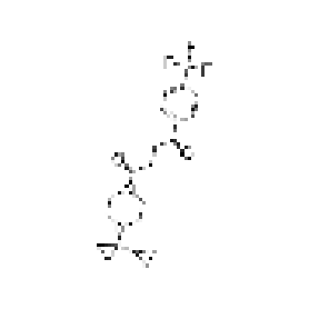 O=C(CCC(=O)N1CCN(C2(C3CC3)CC2)CC1)c1ccc(C(F)(F)F)cc1